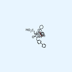 O=C(O)CCNC(=O)C(Cc1ccc(-c2ccccc2)cc1)NCP(=O)(O)OCC1(OC(=O)c2ccccc2)CCCCC1